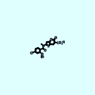 CCOc1cc(Cl)ccc1C(=O)N(C)c1cc2oc(=O)c(C(=O)O)cc2s1